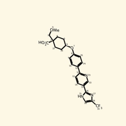 COC[C@]1(C(=O)O)CC[C@@H](Oc2ccc(-c3ccc(-c4nc(C(F)(F)F)c[nH]4)cn3)cc2)CC1